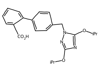 CC(C)Oc1nc(OC(C)C)n(Cc2ccc(-c3ccccc3C(=O)O)cc2)n1